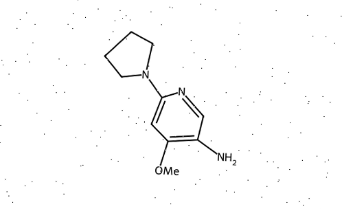 COc1cc(N2CCCC2)ncc1N